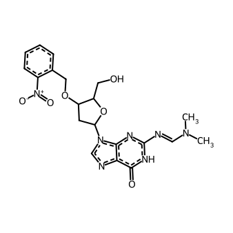 CN(C)/C=N/c1nc2c(ncn2C2CC(OCc3ccccc3[N+](=O)[O-])C(CO)O2)c(=O)[nH]1